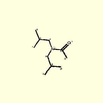 C[C](=O)[Al]([CH2]C(C)C)[CH2]C(C)C